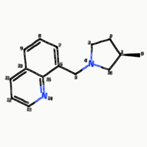 C[C@@H]1CCN(Cc2cccc3cccnc23)C1